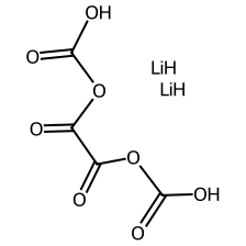 O=C(O)OC(=O)C(=O)OC(=O)O.[LiH].[LiH]